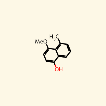 COc1ccc(O)c2cccc(C)c12